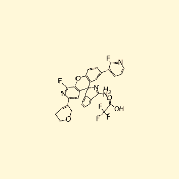 NC1=NC2(c3cc(-c4cccnc4F)ccc3Oc3c2cc(C2=CCCOC2)nc3F)c2ccccc21.O=C(O)C(F)(F)F